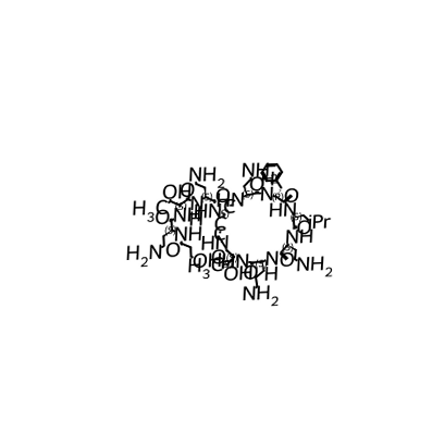 CC(C)C[C@@H]1NC(=O)[C@@H](Cc2ccccc2)NC(=O)[C@H](CCN)NC[C@@H](NC(=O)[C@H](CCN)NC(=O)[C@@H](NC(=O)[C@H](CCN)NC(=O)CCO)C(C)O)CCNC(=O)[C@H]([C@H](C)O)NC(=O)[C@H](CCCN)NC(=O)[C@H](CCN)NC1=O